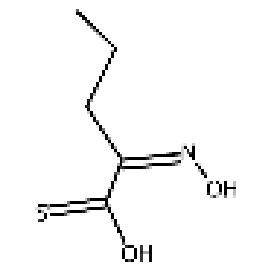 CCCC(=NO)C(O)=S